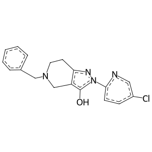 Oc1c2c(nn1-c1ccc(Cl)cn1)CCN(Cc1ccccc1)C2